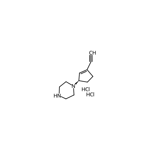 C#CC1=C[C@H](N2CCNCC2)CC1.Cl.Cl